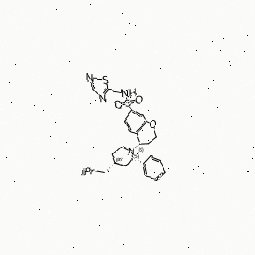 CC(C)C[C@@H]1CCN([C@H]2CCOc3cc(S(=O)(=O)Nc4ncns4)ccc32)[C@H](c2ccccc2)C1